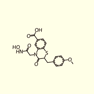 COc1ccc(CC2Sc3ccc(C(=O)O)cc3N(CC(=O)NO)C2=O)cc1